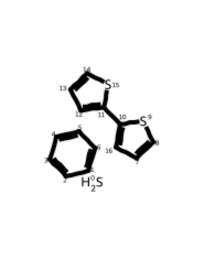 S.c1ccccc1.c1csc(-c2cccs2)c1